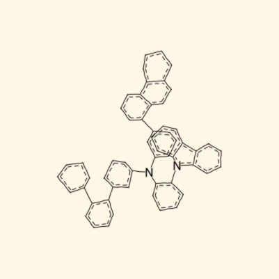 c1ccc(-c2ccccc2-c2cccc(N(c3cccc(-c4cccc5c4ccc4ccccc45)c3)c3ccccc3-n3c4ccccc4c4ccccc43)c2)cc1